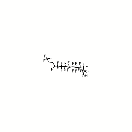 O=S(=O)(O)C(F)(F)C(F)(F)C(F)(F)C(F)(F)C(F)(F)C(F)(F)C(F)(F)C(F)(F)C(F)CCC(F)(F)F